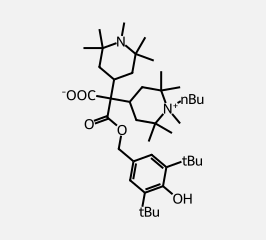 CCCC[N+]1(C)C(C)(C)CC(C(C(=O)[O-])(C(=O)OCc2cc(C(C)(C)C)c(O)c(C(C)(C)C)c2)C2CC(C)(C)N(C)C(C)(C)C2)CC1(C)C